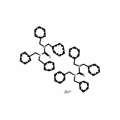 S=C(N(Cc1ccccc1)Cc1ccccc1)[S-](Cc1ccccc1)Cc1ccccc1.S=C(N(Cc1ccccc1)Cc1ccccc1)[S-](Cc1ccccc1)Cc1ccccc1.[Zn+2]